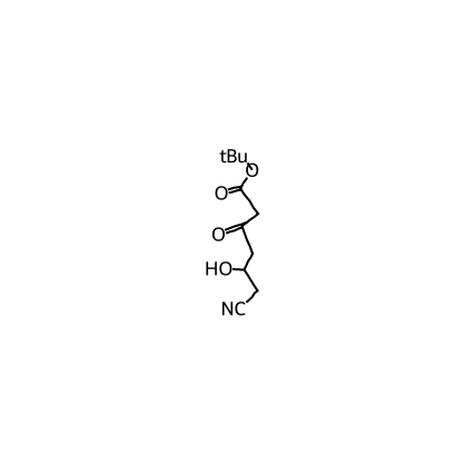 CC(C)(C)OC(=O)CC(=O)CC(O)CC#N